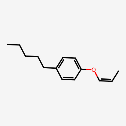 C/C=C\Oc1ccc(CCCCC)cc1